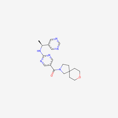 C[C@H](Nc1ncc(C(=O)N2CCC3(CCOCC3)C2)cn1)c1cncnc1